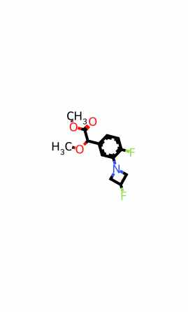 COC(=O)C(OC)c1ccc(F)c(N2CC(F)C2)c1